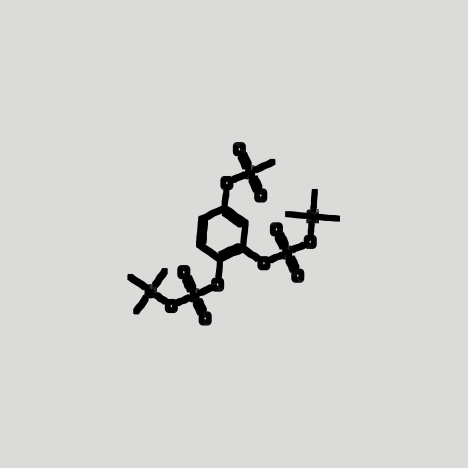 C[Si](C)(C)OS(=O)(=O)Oc1ccc(OS(C)(=O)=O)cc1OS(=O)(=O)O[Si](C)(C)C